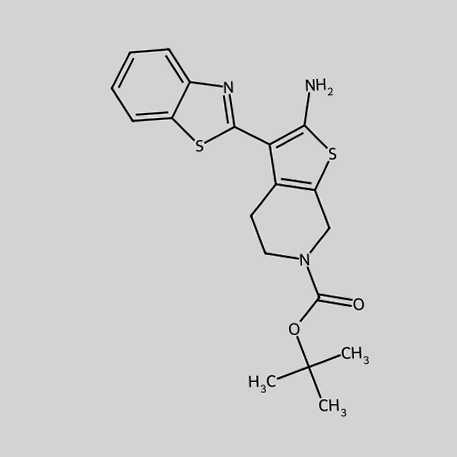 CC(C)(C)OC(=O)N1CCc2c(sc(N)c2-c2nc3ccccc3s2)C1